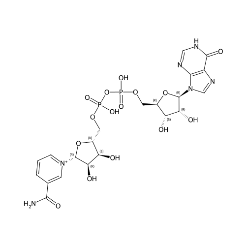 NC(=O)c1ccc[n+]([C@@H]2O[C@H](COP(=O)(O)OP(=O)(O)OC[C@H]3O[C@@H](n4cnc5c(=O)[nH]cnc54)[C@H](O)[C@@H]3O)[C@@H](O)[C@H]2O)c1